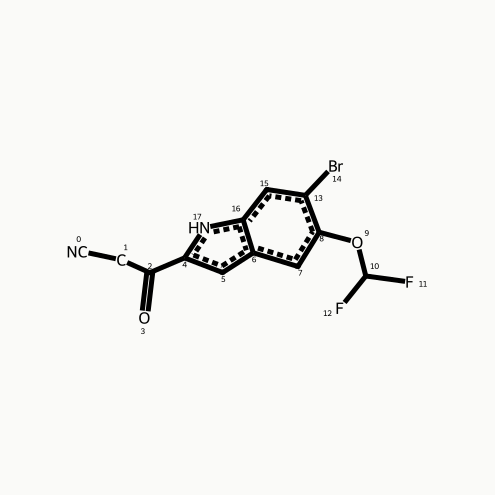 N#CCC(=O)c1cc2cc(OC(F)F)c(Br)cc2[nH]1